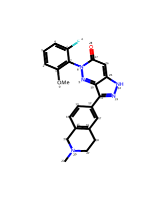 COc1cccc(F)c1-n1nc2c(-c3ccc4c(c3)CCN(C)C4)n[nH]c2cc1=O